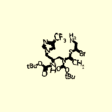 C=C(S/C(Br)=C\N)N(C[C@H](Cn1cnc(C(F)(F)F)c1)NC(=O)OC(C)(C)C)C(=O)OC(C)(C)C